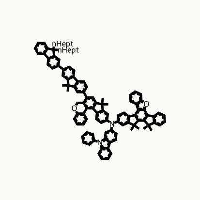 CCCCCCCC1(CCCCCCC)c2ccccc2-c2ccc(-c3ccc4c(c3)C(C)(C)c3cc(-c5cc6c(c7c5COc5ccccc5-7)-c5ccc(N(c7ccc8c(c7)C(C)(C)c7c9c(c%10oc%11ccccc%11c%10c7-8)-c7ccccc7C9(C)C)c7ccc8c9ccccc9n(-c9ccccc9)c8c7)cc5C6(C)C)ccc3-4)cc21